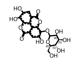 O=c1oc2c(OC3O[C@H](CO)[C@@H](O)[C@H](O)[C@H]3O)c(O)cc3c(=O)oc4c(O)c(O)cc1c4c23